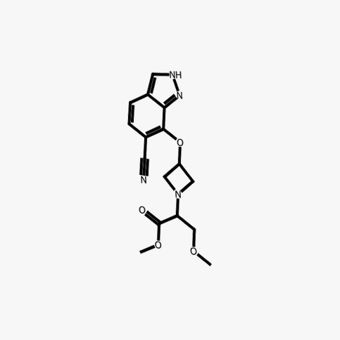 COCC(C(=O)OC)N1CC(Oc2c(C#N)ccc3c[nH]nc23)C1